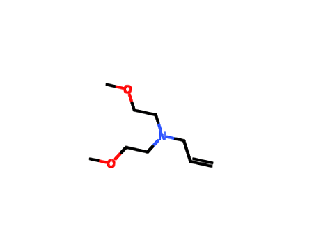 C=CCN(CCOC)CCOC